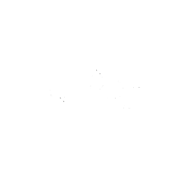 CC(C)C(=O)NC1CCc2[nH]c3cc(O)c(O)cc3c2C1